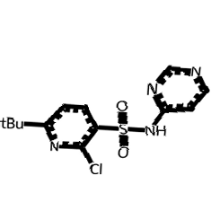 CC(C)(C)c1ccc(S(=O)(=O)Nc2ccncn2)c(Cl)n1